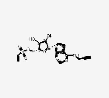 C#CCNc1ncnc2c1ncn2[C@@H]1O[C@H](COS(=O)(=O)C=C)[C@@H](O)[C@H]1O